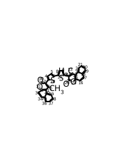 Cc1c(-c2ccc(-c3ccc(-c4c(C)c5c(ccc6ccccc65)oc4=O)s3)s2)c(=O)oc2ccc3ccccc3c12